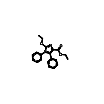 CCOC(=O)c1nc(OCC)n(-c2ccccc2)c1-c1ccccc1